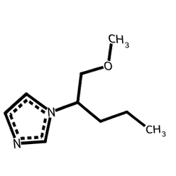 CCCC(COC)n1ccnc1